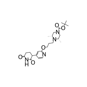 C[C@@H]1CN(C(=O)OC(C)(C)C)C[C@H](C)N1CCCOc1cc(C2CCC(=O)NC2=O)ccn1